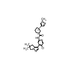 Cn1cc([C@@H]2CCC[C@H](C(=O)Nc3cc(-c4cnn5c4CC(C)(C)C5)c(Cl)cn3)C2)cn1